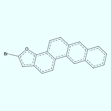 Brc1cc2ccc3c4cc5ccccc5cc4ccc3c2o1